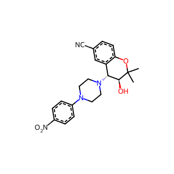 CC1(C)Oc2ccc(C#N)cc2[C@@H](N2CCN(c3ccc([N+](=O)[O-])cc3)CC2)[C@@H]1O